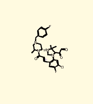 CC1CN(Cc2ccc(F)cc2)CCN1C(=O)/C=C/c1cc(F)c(Cl)cc1N1CNC(C)(C)C1C(=O)C=O